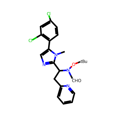 Cn1c(-c2ccc(Cl)cc2Cl)cnc1C(Cc1ccccn1)N(C=O)OC(C)(C)C